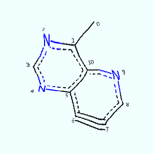 Cc1ncnc2c#ccnc12